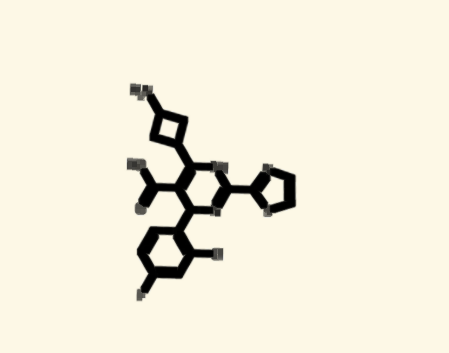 NC1CC(C2=C(C(=O)O)C(c3ccc(F)cc3Cl)N=C(c3nccs3)N2)C1